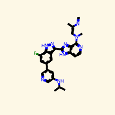 C=N/C(C)=C\N(C)c1nccc2[nH]c(-c3n[nH]c4c(F)cc(-c5cncc(NC(C)C)c5)cc34)nc12